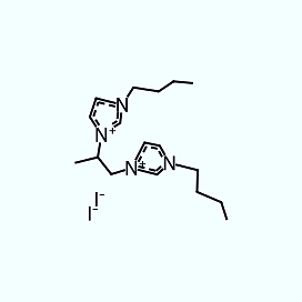 CCCCn1cc[n+](CC(C)[n+]2ccn(CCCC)c2)c1.[I-].[I-]